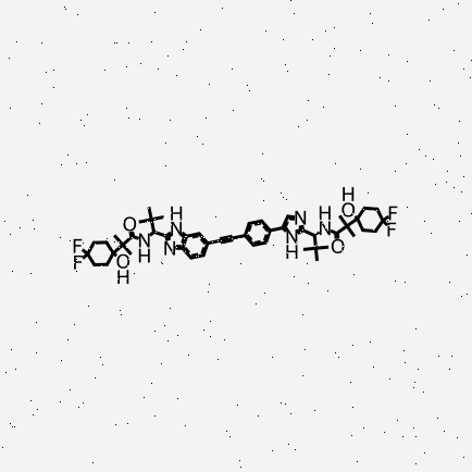 CC(C)(C)C(NC(=O)C(C)(C)C1(O)CCC(F)(F)CC1)c1nc2ccc(C#Cc3ccc(-c4cnc([C@@H](NC(=O)C(C)(C)C5(O)CCC(F)(F)CC5)C(C)(C)C)[nH]4)cc3)cc2[nH]1